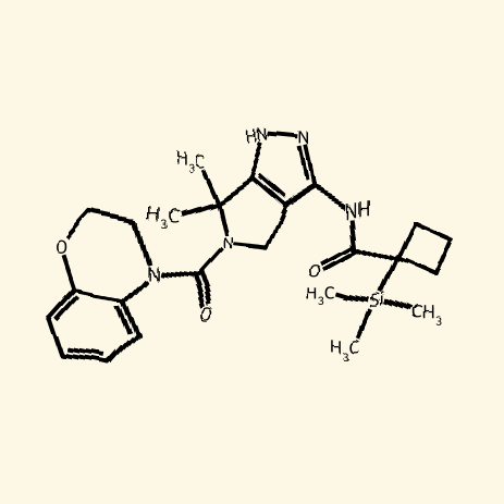 CC1(C)c2[nH]nc(NC(=O)C3([Si](C)(C)C)CCC3)c2CN1C(=O)N1CCOc2ccccc21